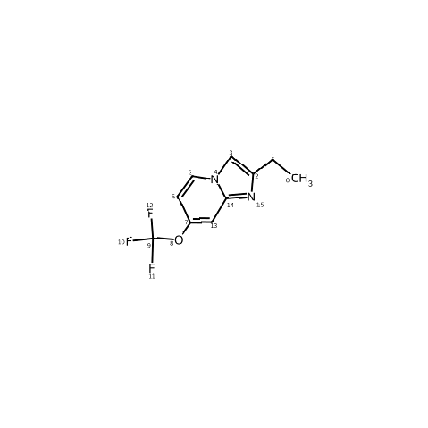 CCc1cn2ccc(OC(F)(F)F)cc2n1